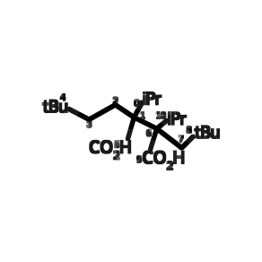 CC(C)C(CCC(C)(C)C)(C(=O)O)C(CC(C)(C)C)(C(=O)O)C(C)C